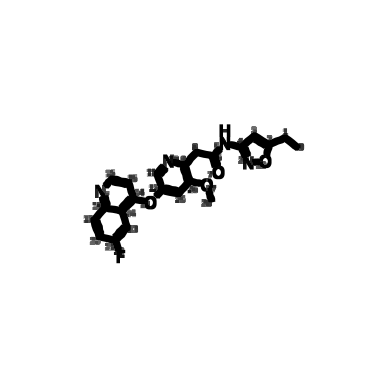 CCc1cc(NC(=O)Cc2ncc(Oc3ccnc4ccc(F)cc34)cc2OC)no1